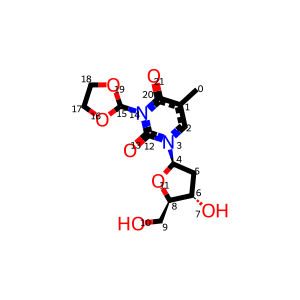 Cc1cn([C@H]2C[C@H](O)[C@@H](CO)O2)c(=O)n(C2OCCO2)c1=O